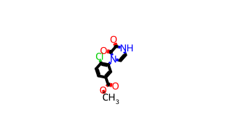 COC(=O)c1ccc(Cl)c(-n2cc[nH]c(=O)c2=O)c1